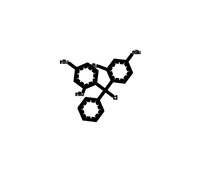 CCCCc1ccc(C(Cl)(c2ccccc2)c2ccc(CCCC)cc2CCCC)c(CCCC)c1